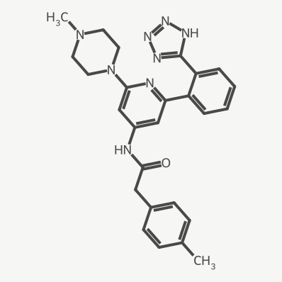 Cc1ccc(CC(=O)Nc2cc(-c3ccccc3-c3nnn[nH]3)nc(N3CCN(C)CC3)c2)cc1